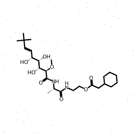 CO[C@@H](C(=O)N[C@@H](C)C(=O)NCCOC(=O)CC1CCCCC1)[C@H](O)[C@@H](O)[C@H](O)/C=C/C(C)(C)C